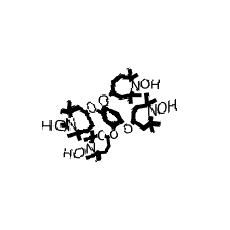 CC1(C)CCC(Oc2cc(OC3CCC(C)(C)N(O)C(C)(C)C3)c(OC3CCC(C)(C)N(O)C(C)(C)C3)cc2OC2CCC(C)(C)N(O)C(C)(C)C2)CC(C)(C)N1O